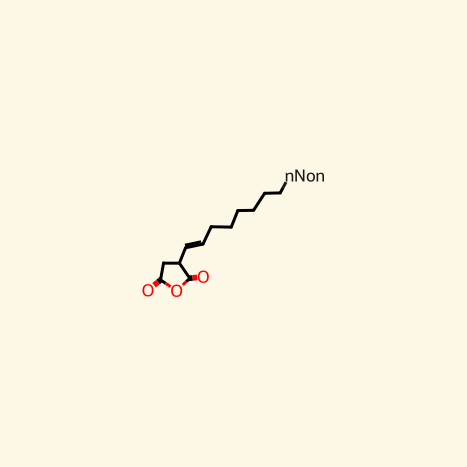 CCCCCCCCCCCCCCC/C=C/C1CC(=O)OC1=O